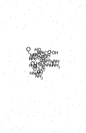 CC(C)C[C@H](NC(=O)[C@@H](CCCNC(=N)N)NC(=O)[C@H](Cc1ccc(O)cc1)NC(=O)[C@H](CO)NC(=O)[C@H](Cc1cccc2ccccc12)NC(=O)NCCc1ccccc1)C(=O)N[C@@H](CCCNC(=N)N)C(=O)N1CCC[C@H]1C(=O)CC(N)=O